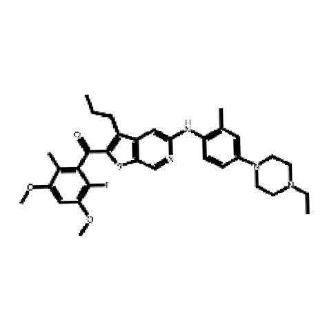 CCCc1c(C(=O)c2c(C)c(OC)cc(OC)c2F)sc2cnc(Nc3ccc(N4CCN(CC)CC4)cc3C)cc12